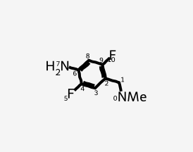 CNCc1cc(F)c(N)cc1F